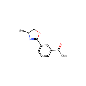 COC(=O)c1cccc(C2=N[C@@H](C(C)(C)C)CO2)c1